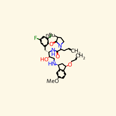 C=CCO[C@@H]1C[C@H](NC[C@@H](O)[C@H](Cc2cc(F)cc(F)c2)NC(=O)C(CC=C)N2CCC(CCCC)C2=O)c2cc(OC)ccc21